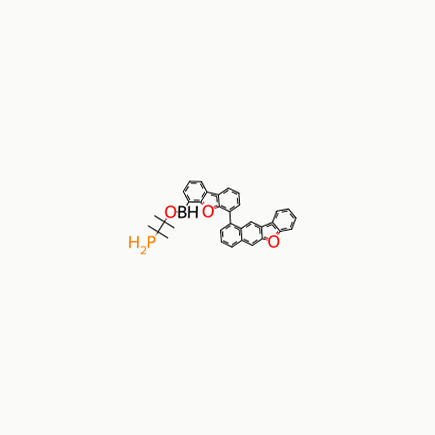 CC(C)(P)C(C)(C)OBc1cccc2c1oc1c(-c3cccc4cc5oc6ccccc6c5cc34)cccc12